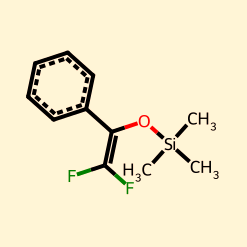 C[Si](C)(C)OC(=C(F)F)c1ccccc1